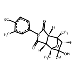 C[C@@]12O[C@@](C)([C@@H]3C(=O)N(c4ccc(C#N)c(C(F)(F)F)c4)C(=O)[C@@H]31)C(O)(O)[C@H]2F